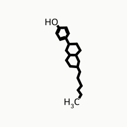 CCCCCCC1CCC2CC(c3ccc(O)cc3)CCC2C1